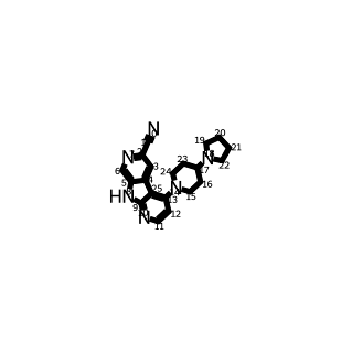 N#Cc1cc2c(cn1)[nH]c1nccc(N3CCC(N4CCCC4)CC3)c12